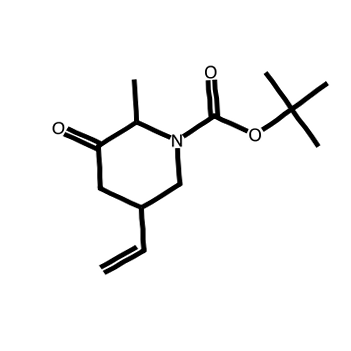 C=CC1CC(=O)C(C)N(C(=O)OC(C)(C)C)C1